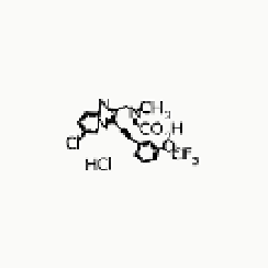 CN(CC(=O)O)Cc1nc2ccc(Cl)cn2c1C#Cc1cccc(OC(F)(F)F)c1.Cl